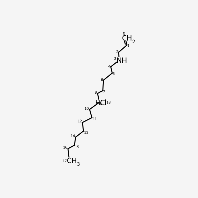 C=CCNCCCCCCCCCCCCCC.Cl